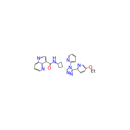 CCOc1ccc(-c2nnc([C@H]3C[C@H](NC(=O)c4ccnc5cccnc45)C3)n2-c2ccccn2)nc1